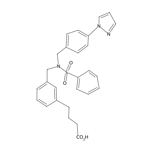 O=C(O)CCCc1cccc(CN(Cc2ccc(-n3cccn3)cc2)S(=O)(=O)c2ccccc2)c1